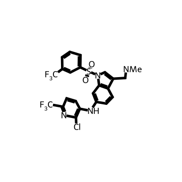 CNCc1cn(S(=O)(=O)c2cccc(C(F)(F)F)c2)c2cc(Nc3ccc(C(F)(F)F)nc3Cl)ccc12